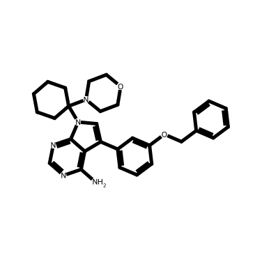 Nc1ncnc2c1c(-c1cccc(OCc3ccccc3)c1)cn2C1(N2CCOCC2)CCCCC1